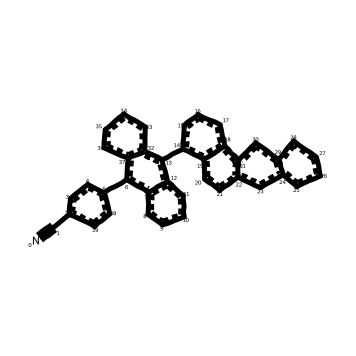 N#Cc1ccc(-c2c3ccccc3c(-c3cccc4c3ccc3cc5ccccc5cc34)c3ccccc23)cc1